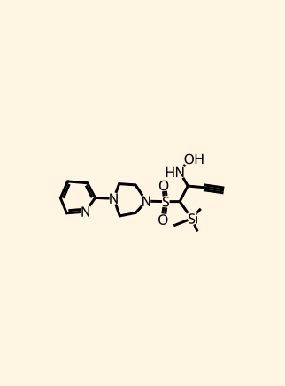 C#CC(NO)C([Si](C)(C)C)S(=O)(=O)N1CCN(c2ccccn2)CC1